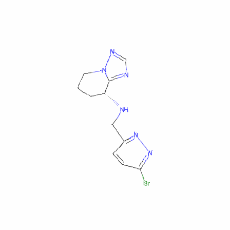 Brc1ccc(CN[C@@H]2CCCn3ncnc32)nn1